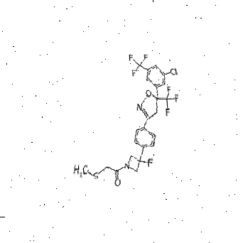 CSCC(=O)N1CC(F)(c2ccc(C3=NOC(c4cc(Cl)cc(C(F)(F)F)c4)(C(F)(F)F)C3)cc2)C1